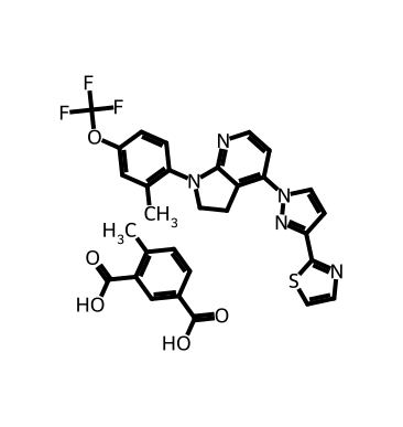 Cc1cc(OC(F)(F)F)ccc1N1CCc2c(-n3ccc(-c4nccs4)n3)ccnc21.Cc1ccc(C(=O)O)cc1C(=O)O